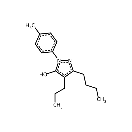 CCCCc1nn(-c2ccc(C)cc2)c(O)c1CCC